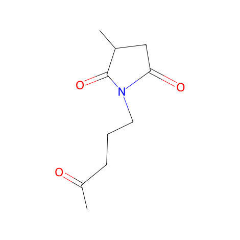 CC(=O)CCCN1C(=O)CC(C)C1=O